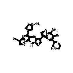 Nc1c(Br)c(C2CNCCS2)nc2c(-c3cnn(Nc4c(Br)c(C5CC[C@@H](N)C5)nc5c(Br)cnn45)c3)cnn12